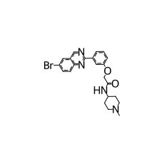 CN1CCC(NC(=O)COc2cccc(-c3ncc4cc(Br)ccc4n3)c2)CC1